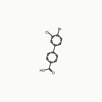 O=C(O)c1ccc(-c2ccc(Br)c(Cl)c2)cc1